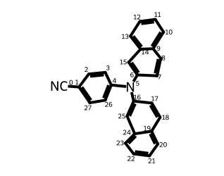 N#Cc1ccc(N(c2ccc3ccccc3c2)c2ccc3ccccc3c2)cc1